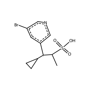 CC([C](c1cncc(Br)c1)C1CC1)S(=O)(=O)O